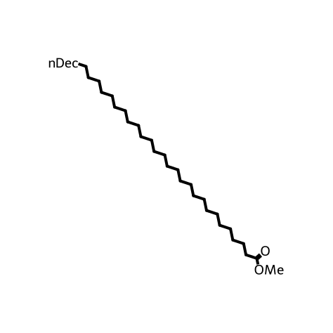 CCCCCCCCCCCCCCCCCCCCCCCCCCCCCCCCCCCCC(=O)OC